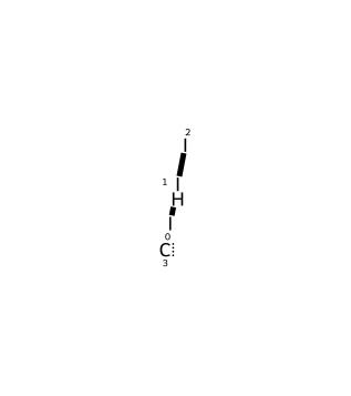 I[IH]I.[C]